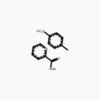 CNC(=O)c1ccccn1.Cc1ccc(S(=O)(=O)O)cc1